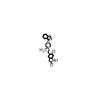 C[N+]1(CCc2cc3c(cc2Cl)NC(=O)C3)CCN(c2nsc3ccccc23)CC1